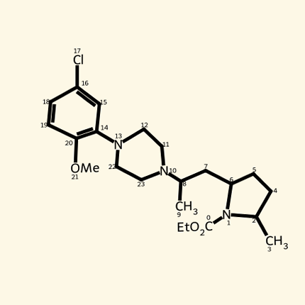 CCOC(=O)N1C(C)CCC1CC(C)N1CCN(c2cc(Cl)ccc2OC)CC1